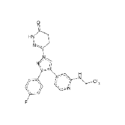 O=C1CCC(n2cc(-c3ccnc(NCC(F)(F)F)c3)c(-c3ccc(F)cc3)n2)=NN1